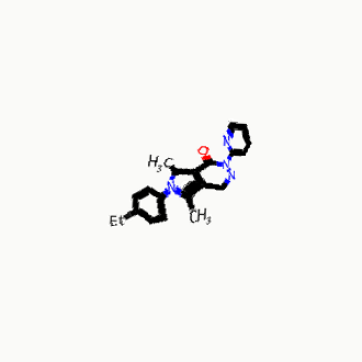 CCc1ccc(-n2c(C)c3cnn(-c4ccccn4)c(=O)c3c2C)cc1